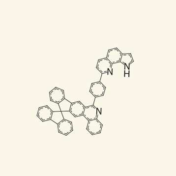 c1ccc2c(c1)-c1ccccc1C21c2ccccc2-c2cc3c(-c4ccc(-c5ccc6ccc7cc[nH]c7c6n5)cc4)nc4ccccc4c3cc21